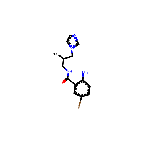 CC(CNC(=O)c1cc(Br)ccc1N)Cn1ccnc1